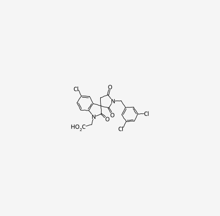 O=C(O)CN1C(=O)C2(CC(=O)N(Cc3cc(Cl)cc(Cl)c3)C2=O)c2cc(Cl)ccc21